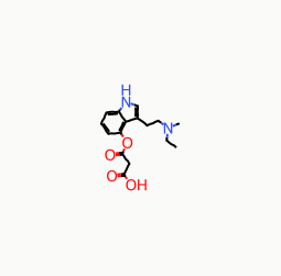 CCN(C)CCc1c[nH]c2cccc(OC(=O)CC(=O)O)c12